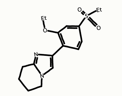 CCOc1cc(S(=O)(=O)CC)ccc1-c1cn2c(n1)CCCC2